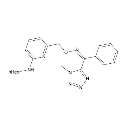 CCCCCCNc1cccc(CON=C(c2ccccc2)c2nnnn2C)n1